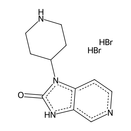 Br.Br.O=c1[nH]c2cnccc2n1C1CCNCC1